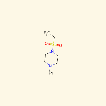 CC(C)N1CCN(S(=O)(=O)CC(F)(F)F)CC1